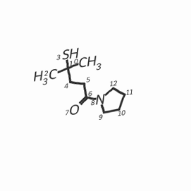 CC(C)(S)CCC(=O)N1CCCC1